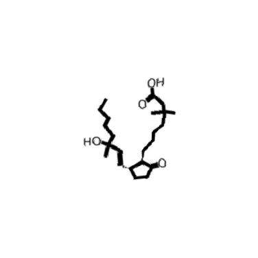 CCCCCC(C)(O)C=C[C@H]1CCC(=O)[C@@H]1CCCCC(C)(C)CC(=O)O